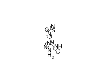 Nc1nccn2c(C3CCN(C(=O)c4cncs4)CC3)nc(-c3cc4ccccc4[nH]3)c12